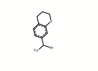 CC(S)c1ccc2c(c1)OCCC2